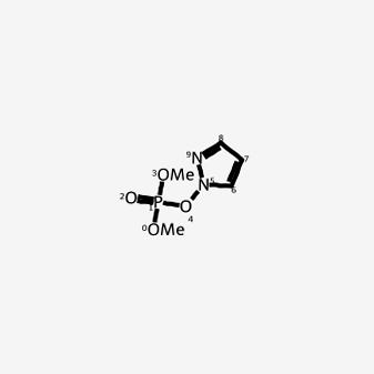 COP(=O)(OC)On1cccn1